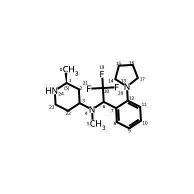 C[C@H]1CC(N(C)C(c2ccccc2N2CCCC2)C(F)(F)F)CCN1